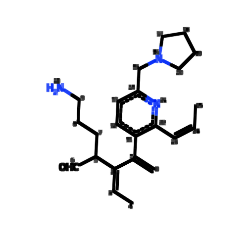 C=C(/C(=C\C)C(C=O)CCCN)c1ccc(CN2CCCC2)nc1/C=C\C